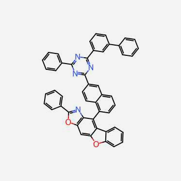 c1ccc(-c2cccc(-c3nc(-c4ccccc4)nc(-c4ccc5c(-c6c7nc(-c8ccccc8)oc7cc7oc8ccccc8c67)cccc5c4)n3)c2)cc1